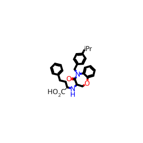 CC(C)c1ccc(CN2C(=O)C(N[C@@H](CCc3ccccc3)C(=O)O)COc3ccccc32)cc1